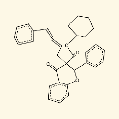 O=C(OC1CCCCC1)C1(CC=C=Cc2ccccc2)C(=O)c2ccccc2OC1c1ccccc1